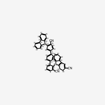 N#CC1=Cc2c(n(-c3c(C#N)cccc3-c3ccc(-c4ccc(C#N)c(-n5c6ccccc6c6ccccc65)c4)cc3)c3ccccc23)CC1